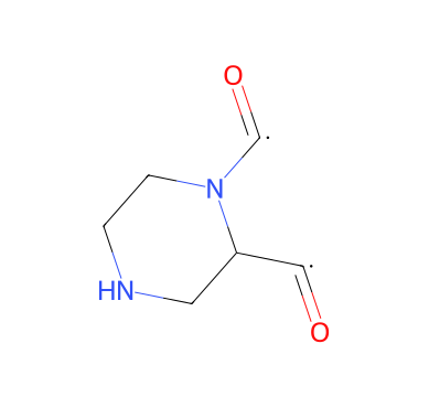 O=[C]C1CNCCN1[C]=O